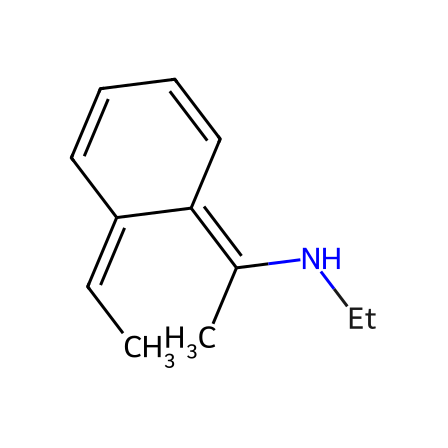 C/C=c1/cccc/c1=C(/C)NCC